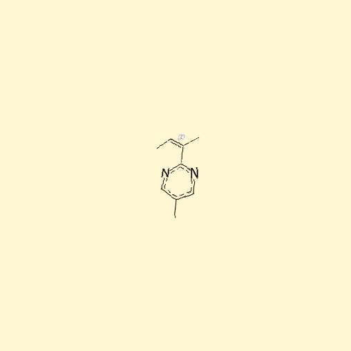 C/C=C(/C)c1ncc(C)cn1